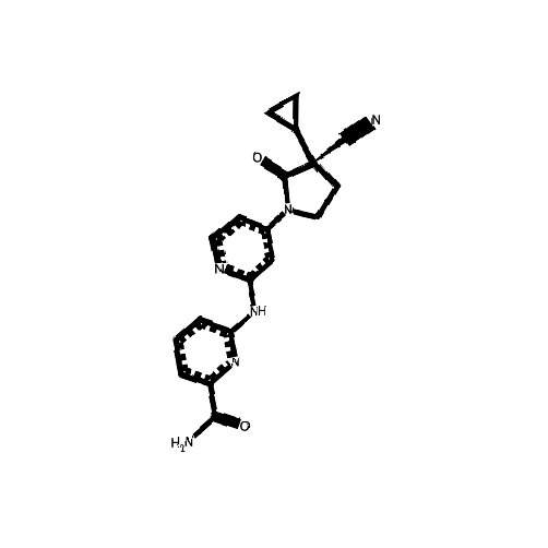 N#C[C@@]1(C2CC2)CCN(c2ccnc(Nc3cccc(C(N)=O)n3)c2)C1=O